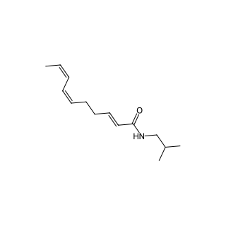 C/C=C\C=C/CC/C=C/C(=O)NCC(C)C